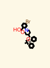 CC(C)(C)[Si](OCC1CCN(c2cc(Br)ccc2C(=O)O)CC1)(c1ccccc1)c1ccccc1